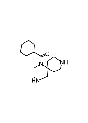 O=C(C1CCCCC1)N1CCNCC12CCNCC2